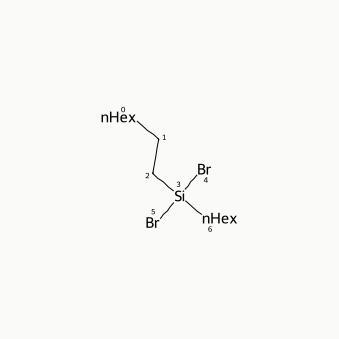 CCCCCCCC[Si](Br)(Br)CCCCCC